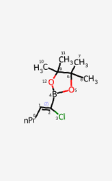 CCC/C=C(\Cl)B1OC(C)(C)C(C)(C)O1